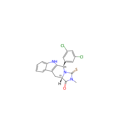 CN1C(=O)[C@@H]2Cc3c([nH]c4ccccc34)[C@@H](c3cc(Cl)cc(Cl)c3)N2C1=S